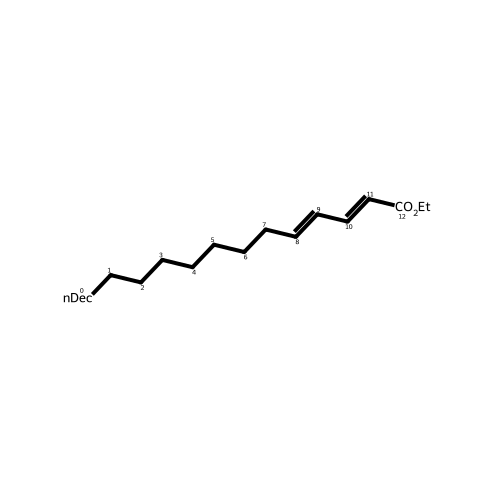 CCCCCCCCCCCCCCCCCC=CC=CC(=O)OCC